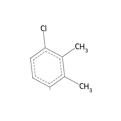 Cc1[c]ccc(Cl)c1C